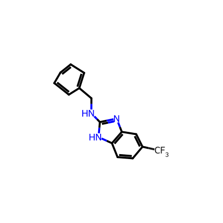 FC(F)(F)c1ccc2[nH]c(NCc3ccccc3)nc2c1